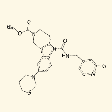 CC(C)(C)OC(=O)N1CCc2c(c3cc(N4CCCSC4)ccc3n2C(=O)NCc2ccnc(Cl)c2)C1